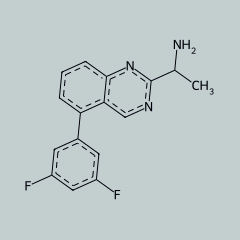 CC(N)c1ncc2c(-c3cc(F)cc(F)c3)cccc2n1